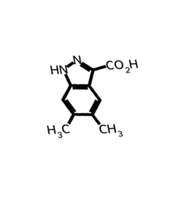 Cc1cc2[nH]nc(C(=O)O)c2cc1C